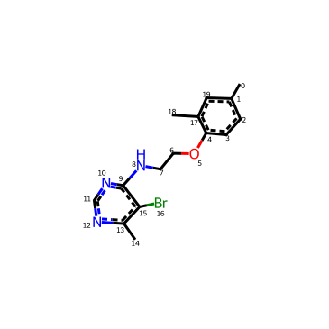 Cc1ccc(OCCNc2ncnc(C)c2Br)c(C)c1